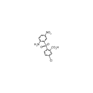 Nc1ccc([N+](=O)[O-])cc1S(=O)(=O)c1ccc(Cl)cc1C(=O)O